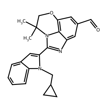 CC1(C)COc2cc(C=O)cc3nc(-c4cc5ccccc5n4CC4CC4)n1c23